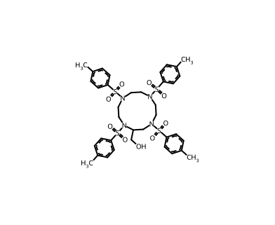 Cc1ccc(S(=O)(=O)N2CCN(S(=O)(=O)c3ccc(C)cc3)CCN(S(=O)(=O)c3ccc(C)cc3)C(CO)CN(S(=O)(=O)c3ccc(C)cc3)CC2)cc1